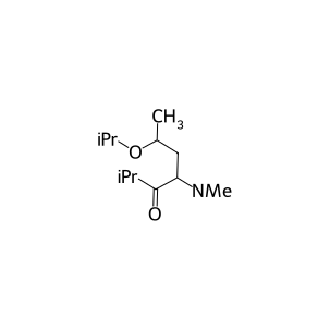 CNC(CC(C)OC(C)C)C(=O)C(C)C